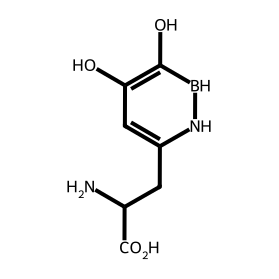 NC(CC1=CC(O)=C(O)BN1)C(=O)O